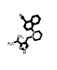 CC(C)c1n[nH]cc1CN1CCCCN1c1ccc(C#N)c2ccccc12